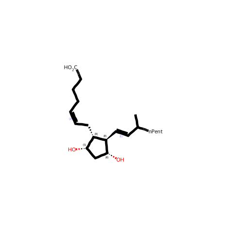 CCCCCC(C)/C=C/[C@@H]1[C@@H](C/C=C\CCCC(=O)O)[C@@H](O)C[C@H]1O